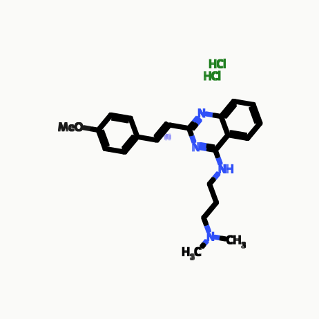 COc1ccc(/C=C/c2nc(NCCCN(C)C)c3ccccc3n2)cc1.Cl.Cl